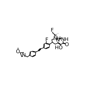 COC1CN(Cc2ccc(C#Cc3ccc(C(CN[C@@H](C)CF)Cc4nc[nH]c(=O)c4O)c(F)c3)cc2)C1